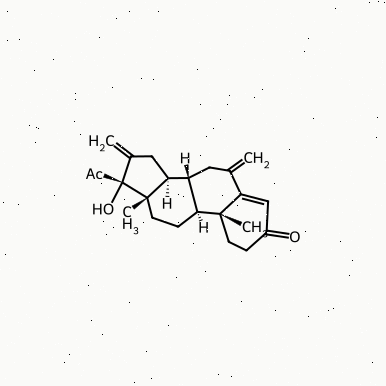 C=C1C[C@@H]2[C@H](CC[C@@]3(C)[C@H]2CC(=C)[C@]3(O)C(C)=O)[C@@]2(C)CCC(=O)C=C12